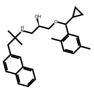 Cc1ccc(C)c(C(OC[C@H](O)CNC(C)(C)Cc2ccc3ccccc3c2)C2CC2)c1